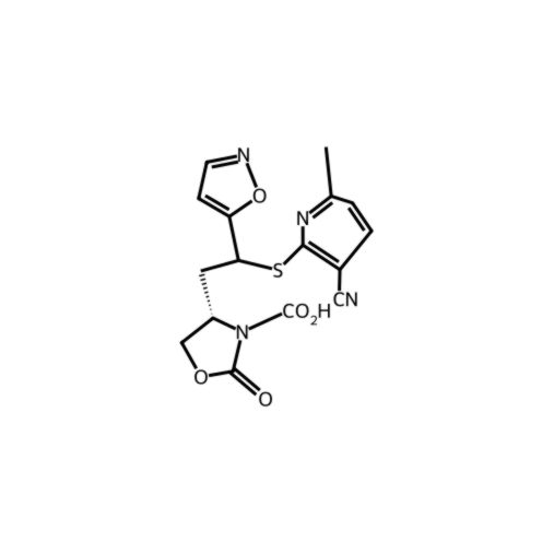 Cc1ccc(C#N)c(SC(C[C@H]2COC(=O)N2C(=O)O)c2ccno2)n1